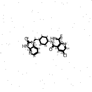 O=C(N[C@H]1CC[C@H](Cn2c(=O)[nH]c3ncccc32)CC1)c1cc(Cl)cnc1C(F)F